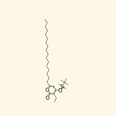 CCCCCCCCCCCCCCCCCc1cc(O[Si](C)(C)C(C)(C)C)c(CC)c(=O)o1